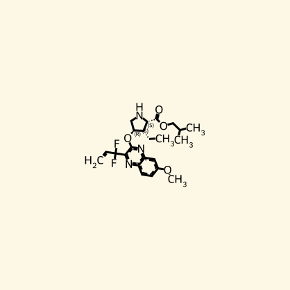 C=CC(F)(F)c1nc2ccc(OC)cc2nc1O[C@H]1CN[C@H](C(=O)OCC(C)C)[C@@H]1CC